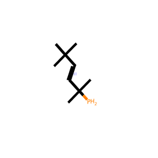 CC(C)(C)/C=C/C(C)(C)P